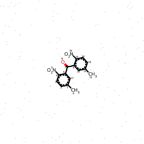 Cc1ccc([N+](=O)[O-])c(C(=O)c2cc(C)ccc2[N+](=O)[O-])c1